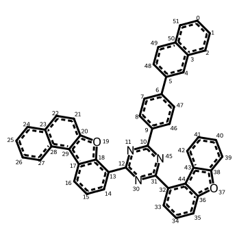 c1ccc2cc(-c3ccc(-c4nc(-c5cccc6c5oc5ccc7ccccc7c56)nc(-c5cccc6oc7ccccc7c56)n4)cc3)ccc2c1